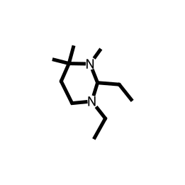 CCC1N(CC)CCC(C)(C)N1C